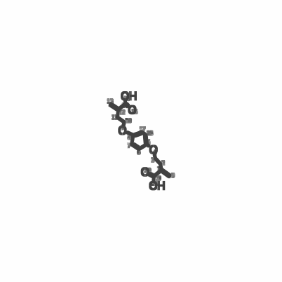 C=C(CCOc1ccc(OCCC(=C)C(=O)O)cc1)C(=O)O